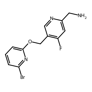 NCc1cc(F)c(COc2cccc(Br)n2)cn1